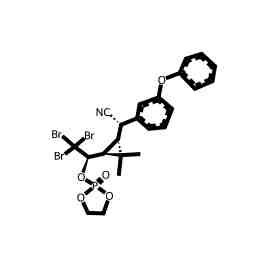 CC1(C)[C@@H]([C@H](C#N)c2cccc(Oc3ccccc3)c2)[C@@H]1[C@@H](OP1(=O)OCCO1)C(Br)(Br)Br